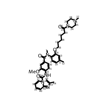 COc1cc(C(=O)N(C)c2ccc(C)cc2OCCCCCC(=O)N2CCN(C)CC2)ccc1NC(=O)[N+]12C=CC=CC1=NC(C)=C2